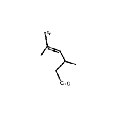 CCCC(C)=CC(C)CC=O